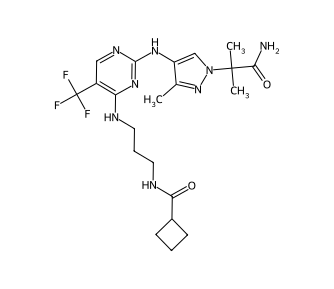 Cc1nn(C(C)(C)C(N)=O)cc1Nc1ncc(C(F)(F)F)c(NCCCNC(=O)C2CCC2)n1